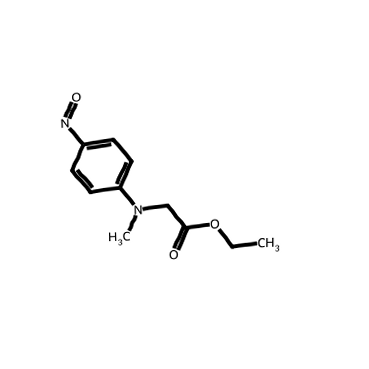 CCOC(=O)CN(C)c1ccc(N=O)cc1